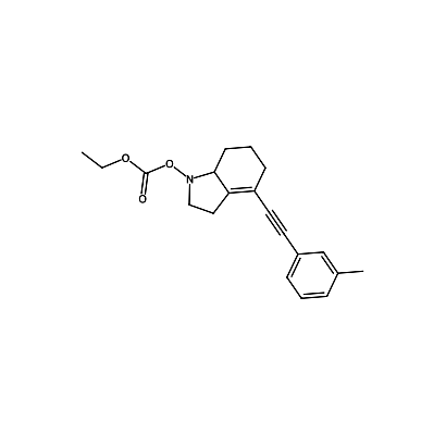 CCOC(=O)ON1CCC2=C(C#Cc3cccc(C)c3)CCCC21